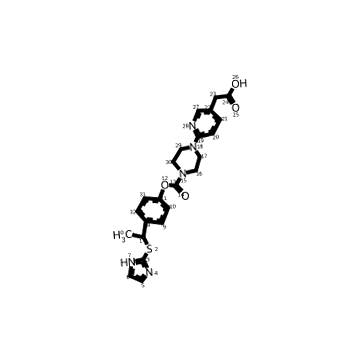 CC(Sc1ncc[nH]1)c1ccc(OC(=O)N2CCN(c3ccc(CC(=O)O)cn3)CC2)cc1